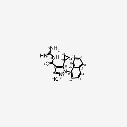 Cl.N=C(N)NC(=O)c1cnn(-c2cccc3ccccc23)c1C1CC1